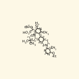 CCOc1ncnc(N2CCc3cc(-c4c(C)nc(C)c([C@H](OC(C)(C)C)C(=O)O)c4N4CCC(C)(C)CC4)ccc3C2)c1C